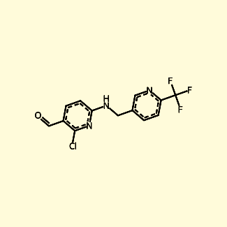 O=Cc1ccc(NCc2ccc(C(F)(F)F)nc2)nc1Cl